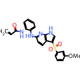 C=CC(=O)Nc1ccccc1Nc1ccc2c(S(=O)(=O)c3cccc(OC)c3)c[nH]c2n1